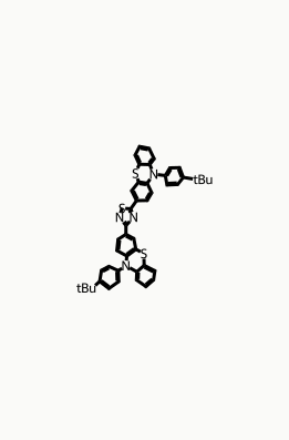 CC(C)(C)c1ccc(N2c3ccccc3Sc3cc(-c4nsc(-c5ccc6c(c5)Sc5ccccc5N6c5ccc(C(C)(C)C)cc5)n4)ccc32)cc1